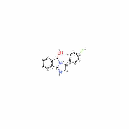 OC1c2ccccc2C2=NCC(c3ccc(F)cc3)N21